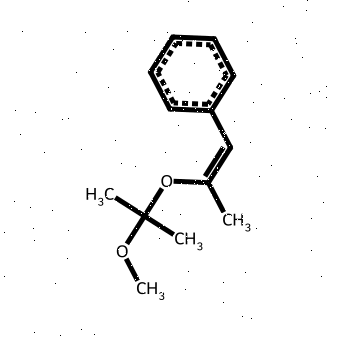 COC(C)(C)OC(C)=Cc1ccccc1